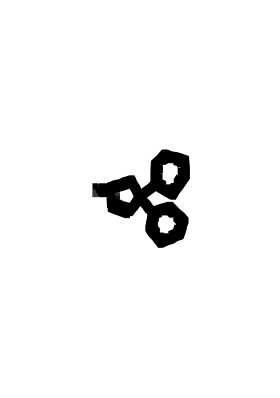 C1#CC(c2ccccc2)(c2ccccc2)C=C1.N